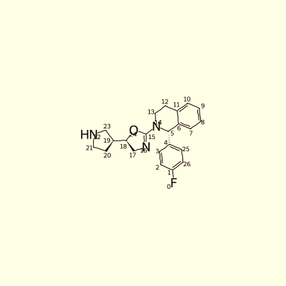 Fc1ccc([C@H]2c3ccccc3CCN2C2=NC[C@@H]([C@H]3CCNC3)O2)cc1